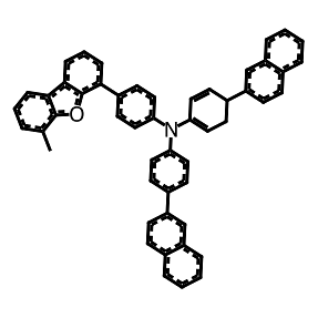 Cc1cccc2c1oc1c(-c3ccc(N(C4=CCC(c5ccc6ccccc6c5)C=C4)c4ccc(-c5ccc6ccccc6c5)cc4)cc3)cccc12